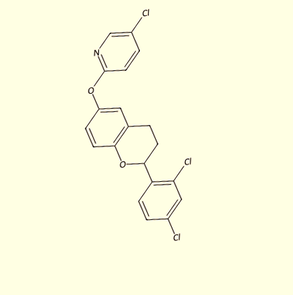 Clc1ccc(Oc2ccc3c(c2)CCC(c2ccc(Cl)cc2Cl)O3)nc1